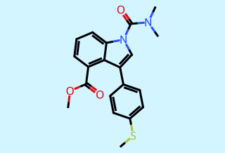 COC(=O)c1cccc2c1c(-c1ccc(SC)cc1)cn2C(=O)N(C)C